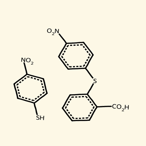 O=C(O)c1ccccc1Sc1ccc([N+](=O)[O-])cc1.O=[N+]([O-])c1ccc(S)cc1